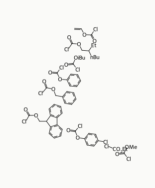 C=COC(=O)Cl.CC(C)COC(=O)Cl.CCCCC(CC)COC(=O)Cl.CCOC(=O)Cl.COC(=O)Cl.O=C(Cl)OCC1c2ccccc2-c2ccccc21.O=C(Cl)OCc1ccccc1.O=C(Cl)Oc1ccc(Cl)cc1.O=C(Cl)Oc1ccccc1